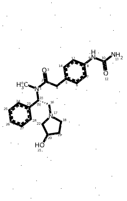 CN(C(=O)Cc1ccc(NC(N)=O)cc1)[C@H](CN1CCC(O)C1)c1ccccc1